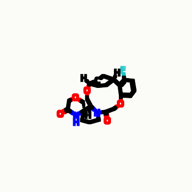 O=C1COC[C@]2(CCCN3C(=O)COc4cccc(F)c4[C@H]4CC[C@H](CC4)OC[C@@H]32)N1